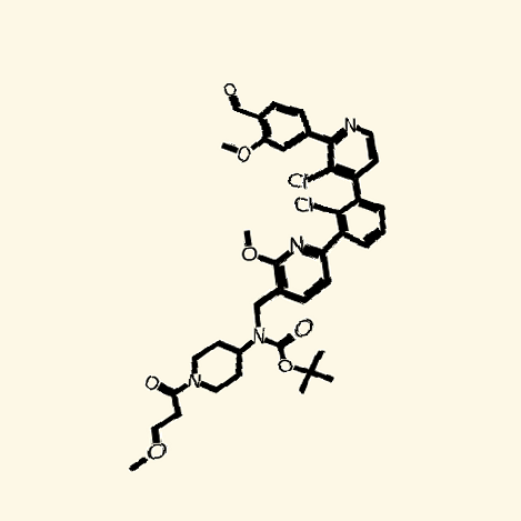 COCCC(=O)N1CCC(N(Cc2ccc(-c3cccc(-c4ccnc(-c5ccc(C=O)c(OC)c5)c4Cl)c3Cl)nc2OC)C(=O)OC(C)(C)C)CC1